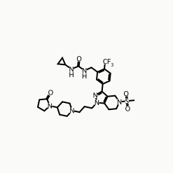 CS(=O)(=O)N1CCc2c(c(-c3ccc(C(F)(F)F)c(CNC(=O)NC4CC4)c3)nn2CCCN2CCC(N3CCCC3=O)CC2)C1